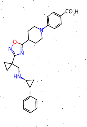 O=C(O)c1ccc(N2CCC(c3nc(C4(CN[C@H]5C[C@@H]5c5ccccc5)CC4)no3)CC2)cc1